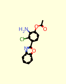 CC(=O)Oc1ccc(-c2nc3ccccc3o2)c(Cl)c1N